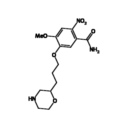 COc1cc([N+](=O)[O-])c(C(N)=O)cc1OCCCC1CNCCO1